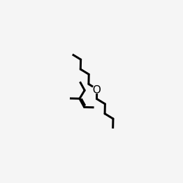 CC=C(C)CC.CCCCCOCCCCC